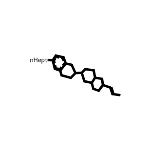 CC=CC1CCC2CC(C3CCc4cc(CCCCCCC)ccc4C3)CCC2C1